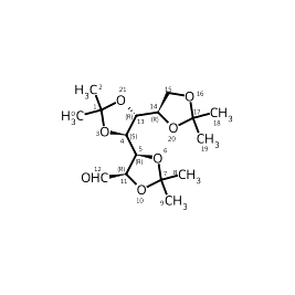 CC1(C)O[C@H]([C@H]2OC(C)(C)O[C@H]2C=O)[C@@H]([C@H]2COC(C)(C)O2)O1